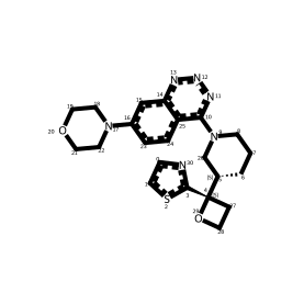 c1csc([C@@]2([C@H]3CCCN(c4nnnc5cc(N6CCOCC6)ccc45)C3)CCO2)n1